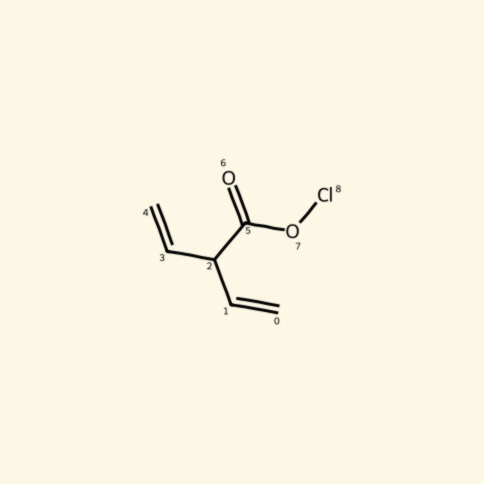 C=CC(C=C)C(=O)OCl